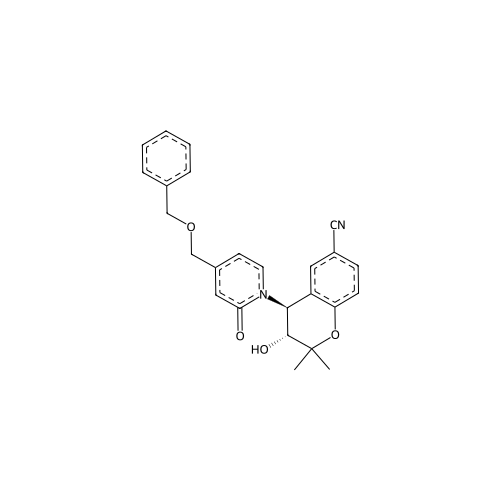 CC1(C)Oc2ccc(C#N)cc2[C@H](n2ccc(COCc3ccccc3)cc2=O)[C@H]1O